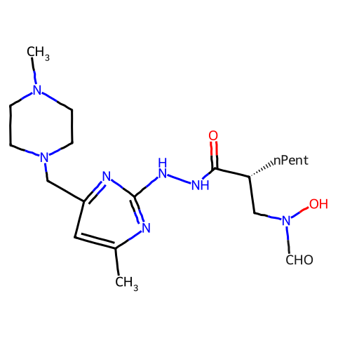 CCCCC[C@H](CN(O)C=O)C(=O)NNc1nc(C)cc(CN2CCN(C)CC2)n1